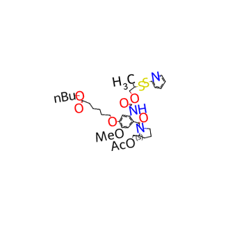 CCCCOC(=O)CCCCCOc1cc(NC(=O)OCC(C)SSc2ccccn2)c(C(=O)N2CCC[C@H]2COC(C)=O)cc1OC